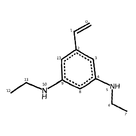 C=Cc1cc(NCC)cc(NCC)c1